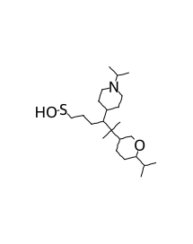 CC(C)C1CCC(C(C)(C)C(CCCSO)C2CCN(C(C)C)CC2)CO1